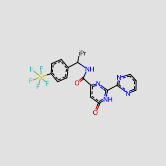 CC(C)C(NC(=O)c1cc(=O)[nH]c(-c2ncccn2)n1)c1ccc(S(F)(F)(F)(F)F)cc1